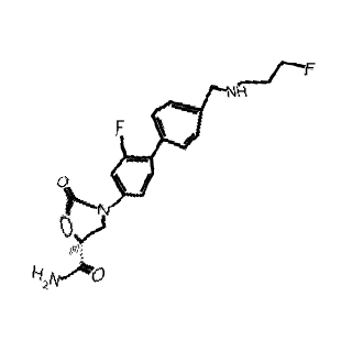 NC(=O)[C@H]1CN(c2ccc(-c3ccc(CNCCCF)cc3)c(F)c2)C(=O)O1